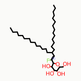 CCCCCCCCCCCCCCC(/C=C(\F)C1OC(CO)C(O)C(O)C1O)CCCCCCCCCCCCCC